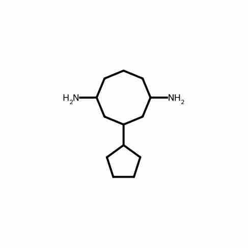 NC1CCCC(N)CC(C2CCCC2)C1